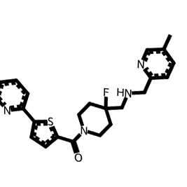 Cc1ccc(CNCC2(F)CCN(C(=O)c3ccc(-c4ccccn4)s3)CC2)nc1